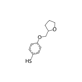 Sc1ccc(OCC2CCCO2)cc1